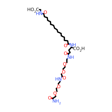 NC(=O)COCCOCCNC(=O)COCCOCCNC(=O)CCC(NC(=O)CCCCCCCCCCCCCCC(=O)NCC(=O)O)C(=O)O